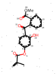 C=C(C)C(=O)Oc1ccc(C(=O)c2ccccc2C(=O)OC)c(O)c1